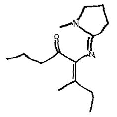 CCCC(=O)C(/N=C1/CCCN1C)=C(\C)CC